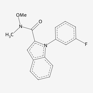 CON(C)C(=O)c1cc2ccccc2n1-c1cccc(F)c1